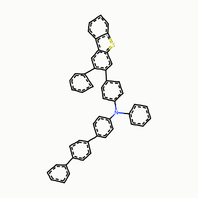 c1ccc(-c2ccc(-c3ccc(N(c4ccccc4)c4ccc(-c5cc6sc7ccccc7c6cc5-c5ccccc5)cc4)cc3)cc2)cc1